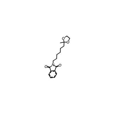 CC1(CCCCCCN2C(=O)c3ccccc3C2=O)OCCO1